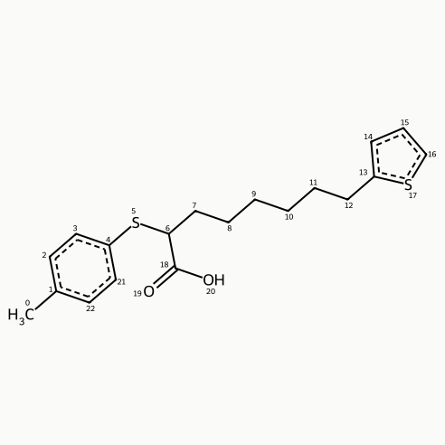 Cc1ccc(SC(CCCCCCc2cccs2)C(=O)O)cc1